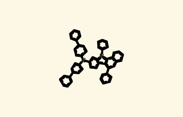 c1ccc(-c2ccc(N(c3ccc(-c4ccccc4)cc3)c3ccc4c5c(-c6ccccc6)cc6ccccc6c5n(-c5ccccc5)c4c3)cc2)cc1